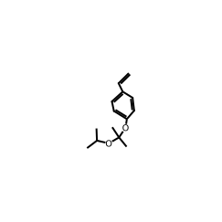 C=Cc1ccc(OC(C)(C)OC(C)C)cc1